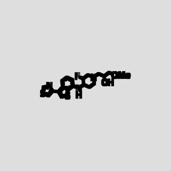 COCC(O)CN1CCC(Nc2cccc3c(-c4cscn4)csc23)C(F)C1